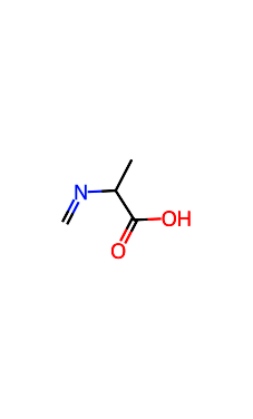 C=NC(C)C(=O)O